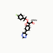 CNC(=O)c1c(OC(C)(C)c2ccc(F)cc2)oc2cc(-c3cncnc3)ccc12